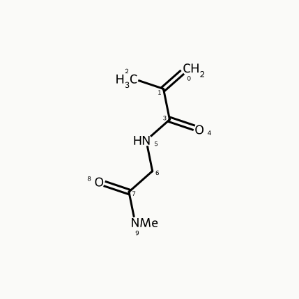 C=C(C)C(=O)NCC(=O)NC